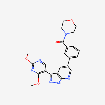 COc1ncc(-c2n[nH]c3ncc(-c4cccc(C(=O)N5CCOCC5)c4)cc23)c(OC)n1